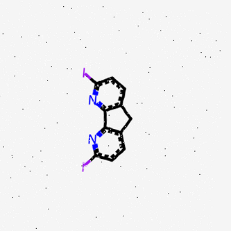 Ic1ccc2c(n1)-c1nc(I)ccc1C2